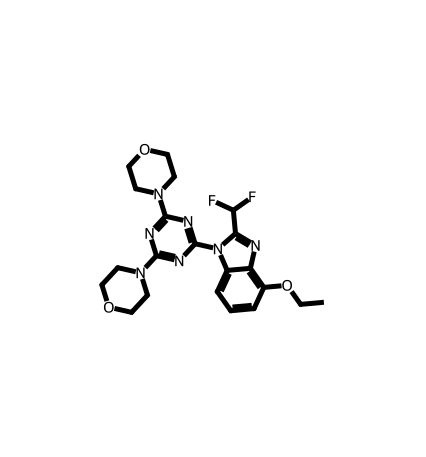 CCOc1cccc2c1nc(C(F)F)n2-c1nc(N2CCOCC2)nc(N2CCOCC2)n1